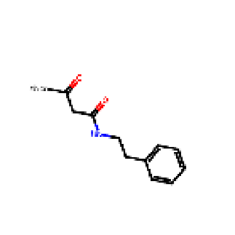 CCCCCCCCCC(=O)CC(=O)NCCc1ccccc1